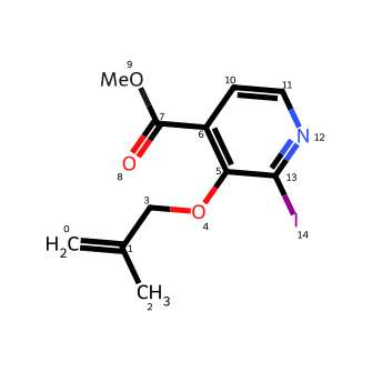 C=C(C)COc1c(C(=O)OC)ccnc1I